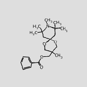 CN1C(C)(C)CC2(CC1(C)C)OCC(C)(COC(=O)c1ccccc1)CO2